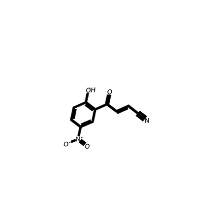 N#C/C=C/C(=O)c1cc([N+](=O)[O-])ccc1O